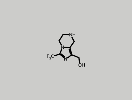 OCc1nc(C(F)(F)F)n2c1CNCC2